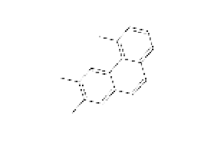 Cc1cc2ccc3cccc(C)c3c2cc1C